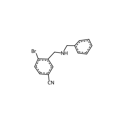 N#Cc1ccc(Br)c(CNCc2ccccc2)c1